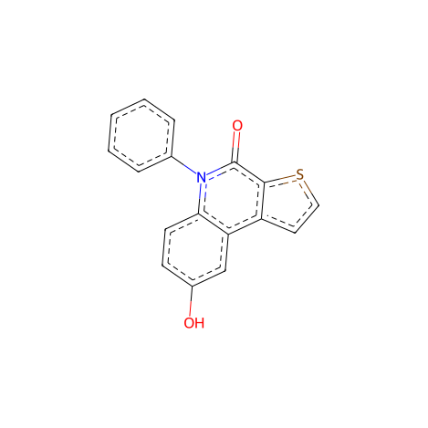 O=c1c2sccc2c2cc(O)ccc2n1-c1ccccc1